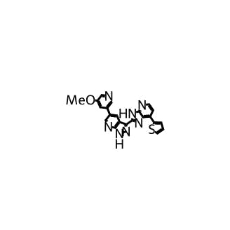 COc1cncc(-c2cnc3[nH]nc(-c4nc5c(-c6cccs6)ccnc5[nH]4)c3c2)c1